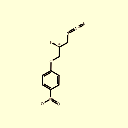 [N-]=[N+]=NC[C@H](F)COc1ccc([N+](=O)[O-])cc1